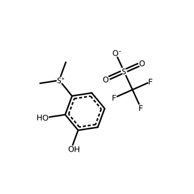 C[S+](C)c1cccc(O)c1O.O=S(=O)([O-])C(F)(F)F